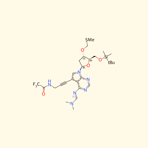 CSCO[C@H]1C[C@H](n2cc(C#CCNC(=O)C(F)(F)F)c3c(/N=C/N(C)C)ncnc32)O[C@@H]1CO[Si](C)(C)C(C)(C)C